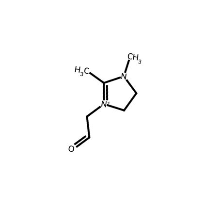 CC1=[N+](CC=O)CCN1C